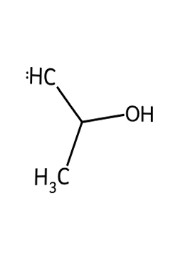 [CH]C(C)O